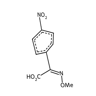 CON=C(C(=O)O)c1ccc([N+](=O)[O-])cc1